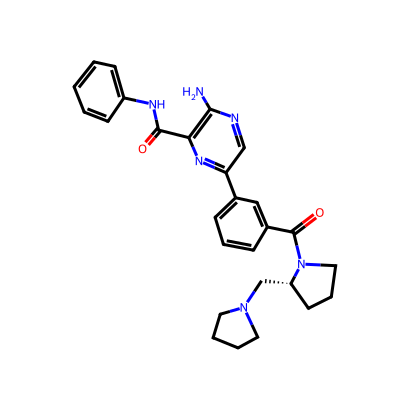 Nc1ncc(-c2cccc(C(=O)N3CCC[C@@H]3CN3CCCC3)c2)nc1C(=O)Nc1ccccc1